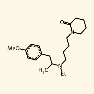 CCN(CCCCN1CCCCC1=O)C(C)Cc1ccc(OC)cc1